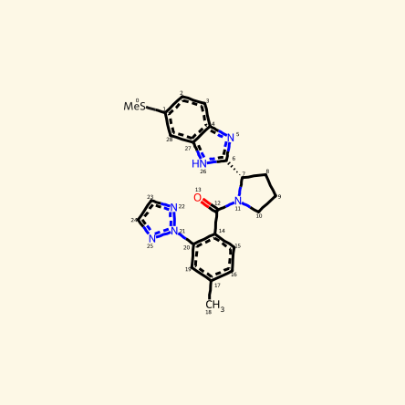 CSc1ccc2nc([C@@H]3CCCN3C(=O)c3ccc(C)cc3-n3nccn3)[nH]c2c1